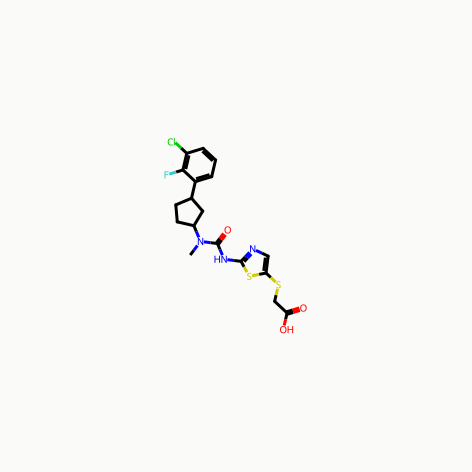 CN(C(=O)Nc1ncc(SCC(=O)O)s1)C1CCC(c2cccc(Cl)c2F)C1